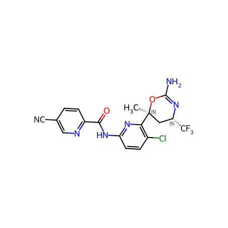 C[C@@]1(c2nc(NC(=O)c3ccc(C#N)cn3)ccc2Cl)C[C@@H](C(F)(F)F)N=C(N)O1